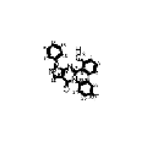 Cc1ccccc1-c1nc2c(cnn2-c2ccccc2)c(=O)n1-c1ccc(F)cc1